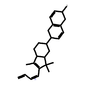 C=C/C=C\C1=C(C)C2CCC(C3C=CC4=C(C=CC(I)C4)C3)CC2C1(C)C